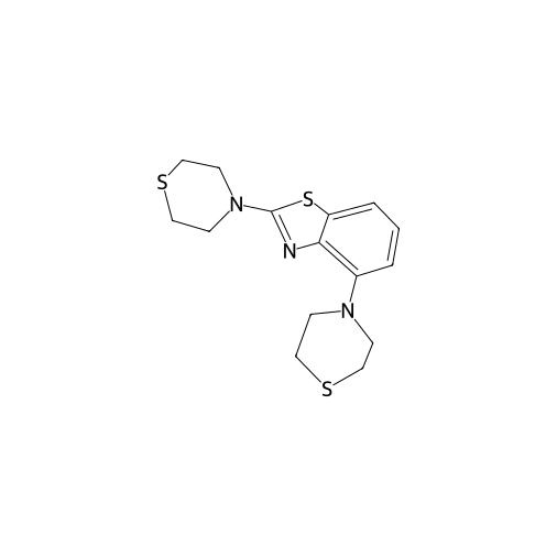 c1cc(N2CCSCC2)c2nc(N3CCSCC3)sc2c1